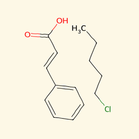 CCCCCCl.O=C(O)/C=C/c1ccccc1